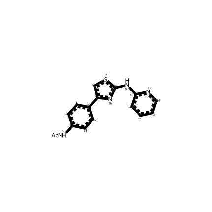 CC(=O)Nc1ccc(-c2csc(Nc3ccccn3)n2)cc1